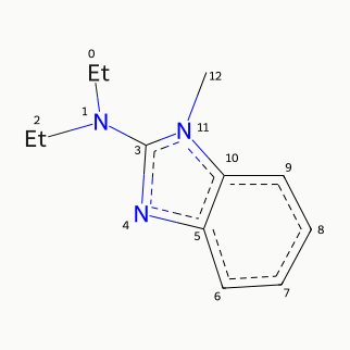 CCN(CC)c1nc2ccccc2n1C